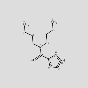 CCCCN(CCCC)C(=O)c1cc[nH]n1